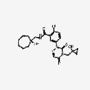 O=C(NCC1(O)CCCCCC1)c1cc(-n2ncc(=O)n(CC3(O)CC3)c2=O)ccc1Cl